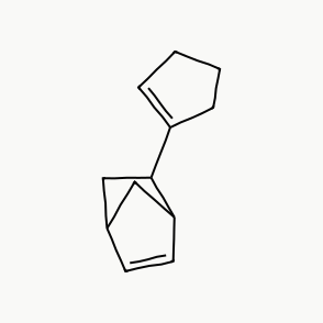 C1=CC2CC1CC2C1=CCCC1